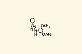 COc1cc(Nc2ncn(-c3ccccc3)n2)cc(OC(F)(F)F)c1